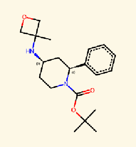 CC1(N[C@@H]2CCN(C(=O)OC(C)(C)C)[C@H](c3ccccc3)C2)COC1